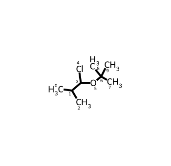 CC(C)C(Cl)OC(C)(C)C